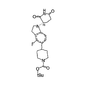 CC(C)(C)OC(=O)N1CCC(c2ccc3c(c2F)CCN3[C@H]2CCC(=O)NC2=O)CC1